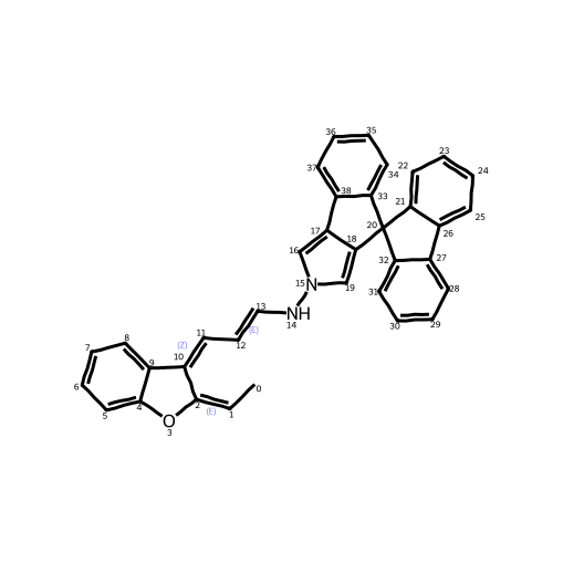 C/C=c1/oc2ccccc2/c1=C/C=C/Nn1cc2c(c1)C1(c3ccccc3-c3ccccc31)c1ccccc1-2